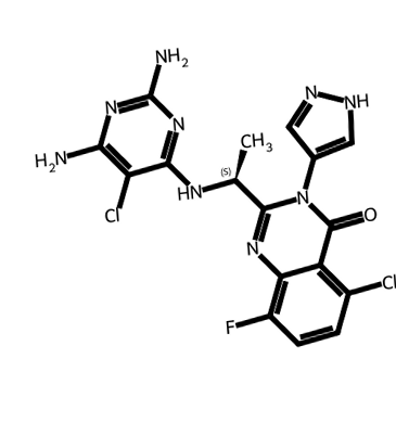 C[C@H](Nc1nc(N)nc(N)c1Cl)c1nc2c(F)ccc(Cl)c2c(=O)n1-c1cn[nH]c1